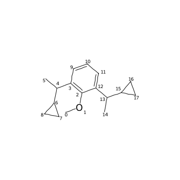 COc1c(C(C)C2CC2)cccc1C(C)C1CC1